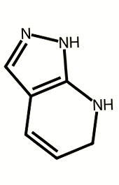 C1=Cc2cn[nH]c2NC1